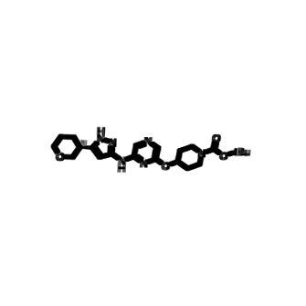 CC(C)(C)OC(=O)N1CCC(Oc2cncc(Nc3cc([C@@H]4CCCOC4)[nH]n3)n2)CC1